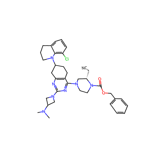 CN(C)C1CN(c2nc3c(c(N4CCN(C(=O)OCc5ccccc5)[C@@H](CC#N)C4)n2)CCC(N2CCCc4cccc(Cl)c42)C3)C1